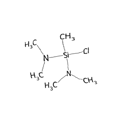 CN(C)[Si](C)(Cl)N(C)C